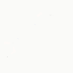 COc1ccc(-c2cccc(Cl)c2C)cc1-n1c2c(ccc1=O)CN(C(=O)OC(C)(C)C)CC2